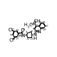 CN(C)c1cc(N[C@H]2CC[C@@H](NC(=O)c3cc(Cl)cc(Cl)c3)CC2)nc2ccccc12